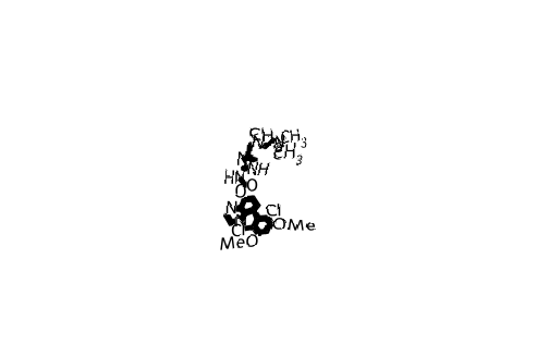 COc1cc(OC)c(Cl)c(-c2ccc(OC(=O)Nc3nc(CN(C)CCN(C)C)c[nH]3)c3nccnc23)c1Cl